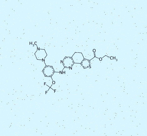 CCOC(=O)c1scc2c1CCc1cnc(Nc3cc(N4CCN(C)CC4)ccc3OC(F)(F)F)nc1-2